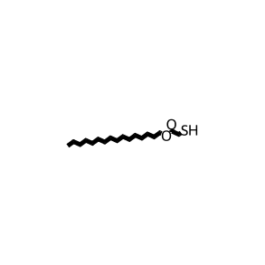 CCCCCCCCCCCCCCCCOC(=O)CS